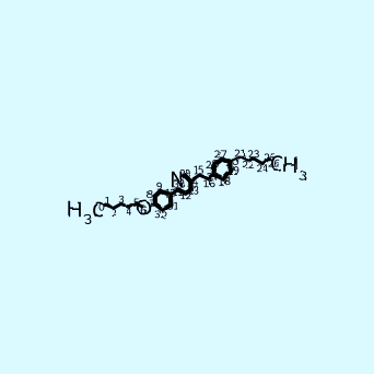 CCCCCCOc1ccc(-c2ccc(CCc3ccc(CCCCCC)cc3)cn2)cc1